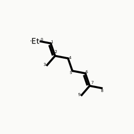 C[CH]/C=C(\C)CCC=C(C)C